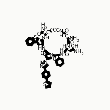 NC(=O)[C@@H]1CCCCNC(=O)C[C@H](N)C(=O)N[C@@H](CC(N)O)C(=O)N[C@@H](C2CCCCC2)C(=O)N2C[C@@H](n3cc(-c4ccc(-c5cccs5)cc4)nn3)C[C@H]2C(=O)N[C@@H](Cc2csc3ccccc23)C(=O)N1